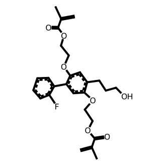 C=C(C)C(=O)OCCOc1cc(-c2ccccc2F)c(OCCOC(=O)C(=C)C)cc1CCCO